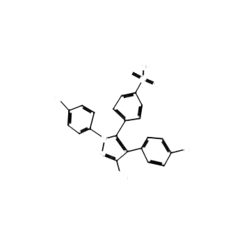 CCc1ccc(-c2c(C(F)(F)F)nn(-c3ccc(CC)cc3)c2-c2ccc(S(N)(=O)=O)cc2)cc1